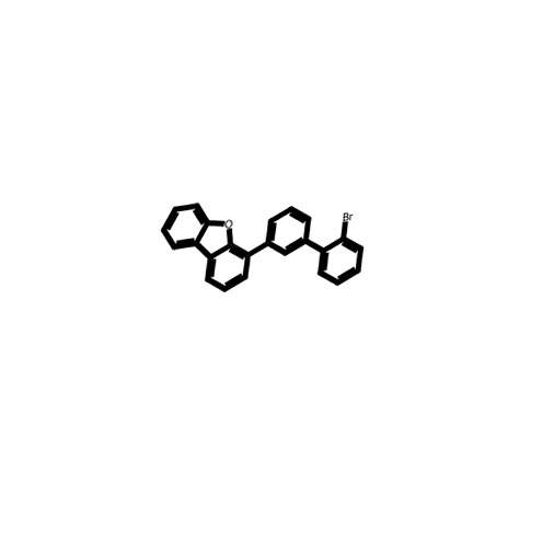 Brc1ccccc1-c1cccc(-c2cccc3c2oc2ccccc23)c1